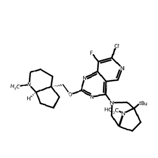 CN1CCC[C@@]2(COc3nc(N4CC5CCC(C(C)(C)C)(C4)N5C(=O)O)c4cnc(Cl)c(F)c4n3)CCC[C@@H]12